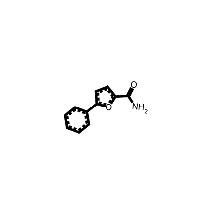 NC(=O)c1ccc(-c2ccccc2)o1